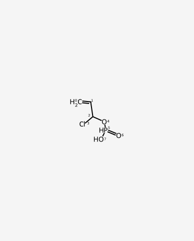 C=CC(Cl)O[PH](=O)O